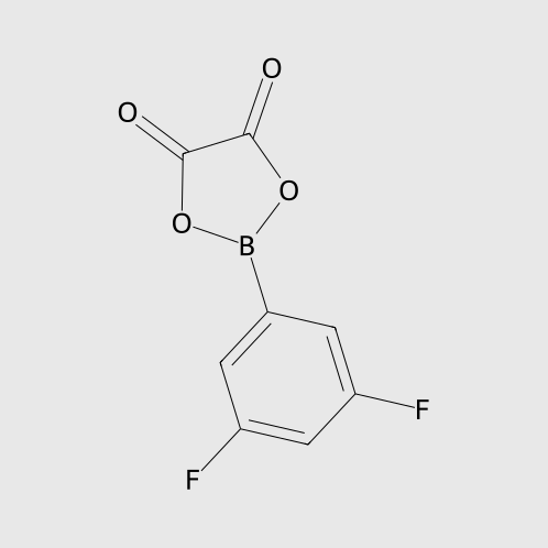 O=C1OB(c2cc(F)cc(F)c2)OC1=O